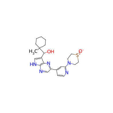 CC1(C(O)c2c[nH]c3ncc(-c4ccnc(N5CC[S+]([O-])CC5)c4)nc23)CCCCC1